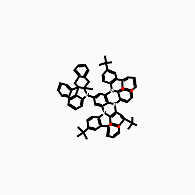 CC(C)(C)c1ccc2c(c1)B1c3ccccc3N(c3ccc(C(C)(C)C)cc3-c3ccccc3)c3cc(N4c5ccccc5C5(c6ccccc6)Cc6ccccc6CC45C)cc(c31)N2c1ccc(C(C)(C)C)cc1-c1ccccc1